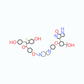 Cn1cc(-c2cc(C(C)(C)O)ccc2Oc2ccc(N3CCC4(CCN(CCOc5ccc(C(=O)c6c(-c7ccc(O)cc7)sc7cc(O)ccc67)cc5)CC4)C3)cc2)c2cc[nH]c2c1=O